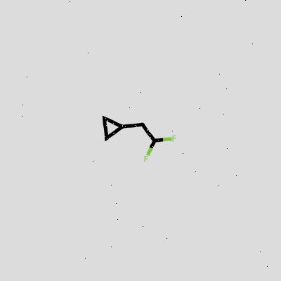 FC(F)C[C]1CC1